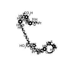 CCCNC(=O)Nc1cccc(S(=O)(=O)Nc2cccc([C@@H](CC(=O)O)NC(=O)Nc3ccc(NC(=O)NCCOCCOCCOCCC(=O)N[C@@H](CC(=O)O)C(=O)N4CCC[C@H]4C(=O)N[C@H](C(=O)N=[S@@](=O)(CC)Cc4cc5cc(c4)OCCCCNc4cc(ccc4F)-c4nc(ncc4F)N5)C(C)C)cc3)c2)c1